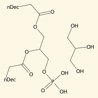 CCCCCCCCCCCC(=O)OCC(COP(=O)(O)O)OC(=O)CCCCCCCCCCC.OCC(O)CO